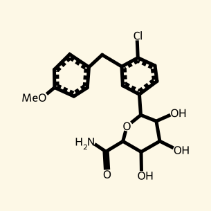 COc1ccc(Cc2cc(C3OC(C(N)=O)C(O)C(O)C3O)ccc2Cl)cc1